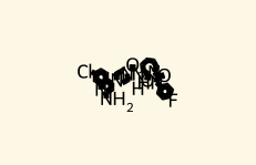 Nc1cc(N2CCN(C(=O)N[C@@H]3CCCCN(C(=O)Nc4ccc(F)cc4)C3=O)CC2)c2ccc(Cl)cc2n1